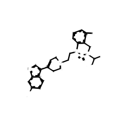 CC(C)N1Cc2c(F)cccc2N(CCN2CC=C(c3c[nH]c4cc(F)ccc34)CC2)S1(=O)=O